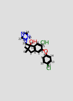 CC1(C)Cc2cc(Oc3ccc(Cl)cc3)ccc2C1(O)Cn1cncn1.Cl